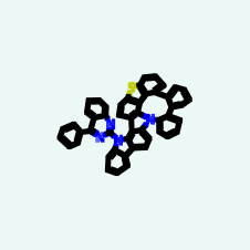 c1ccc(-c2nc(-n3c4ccccc4c4ccc5c(c6ccc7sc8cccc9c%10ccccc%10c%10ccccc%10n5c6c7c89)c43)nc3ccccc23)cc1